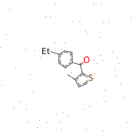 CCc1ccc(C(=O)c2sccc2C)cc1